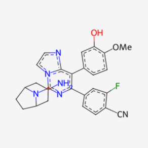 COc1ccc(-c2c(-c3ccc(C#N)c(F)c3)nc(N3C4CCC3CC(N)C4)n3ccnc23)cc1O